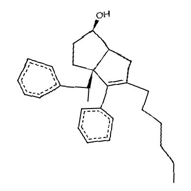 CCCCCCC1=C(c2ccccc2)[C@]2(C(C)c3ccccc3)CC[C@@H](O)C2C1